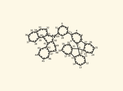 c1cc(-c2ccc3c(c2)C2(c4ccccc4-c4ccccc42)c2ccccc2-3)cc(-n2c3ccc4ccccc4c3c3c4ccccc4ccc32)c1